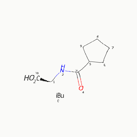 CC[C@H](C)[C@H](NC(=O)C1CCCC1)C(=O)O